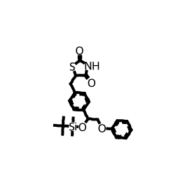 CC(C)(C)[Si](C)(C)OC(COc1ccccc1)c1ccc(CC2SC(=O)NC2=O)cc1